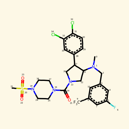 CN(Cc1cc(F)cc(C(F)(F)F)c1)C1CN(C(=O)N2CCN(S(C)(=O)=O)CC2)CC1c1ccc(Cl)c(Cl)c1